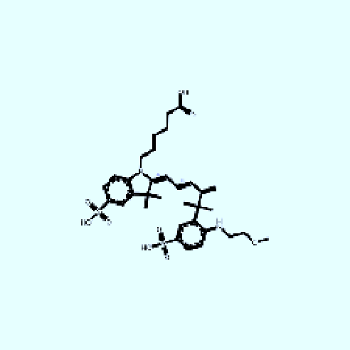 C=C(/C=C/C=C1/N(CCCCCC(=O)O)c2ccc(S(=O)(=O)O)cc2C1(C)C)C(C)(C)c1cc(S(=O)(=O)O)ccc1NCCOC